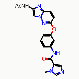 CC(=O)Nc1cn2nc(Oc3cccc(NC(=O)c4cncn4C)c3)ccc2n1